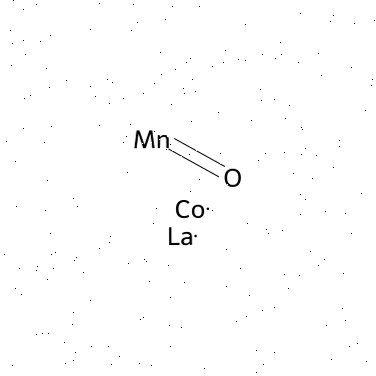 [Co].[La].[O]=[Mn]